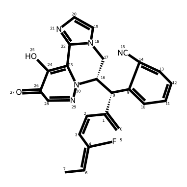 C=C(/C=C\C(F)=C/C)[C@@H](c1ccccc1C#N)[C@H]1Cn2ccnc2-c2c(O)c(=O)cnn21